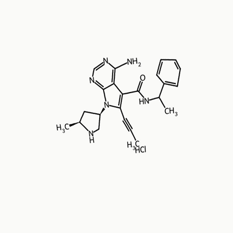 CC#Cc1c(C(=O)NC(C)c2ccccc2)c2c(N)ncnc2n1[C@H]1CN[C@@H](C)C1.Cl